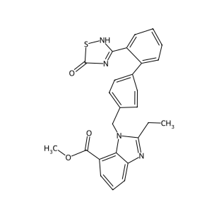 CCc1nc2cccc(C(=O)OC)c2n1Cc1ccc(-c2ccccc2-c2nc(=O)s[nH]2)cc1